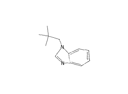 CC(C)(C)Cn1cnc2ccccc21